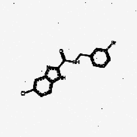 O=C(NCc1cccc(Br)c1)c1nc2cc(Cl)ccc2[nH]1